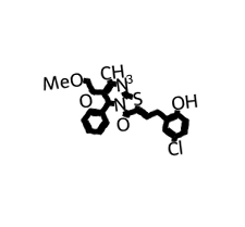 COCC(=O)C1=C(C)N=c2s/c(=C\Cc3cc(Cl)ccc3O)c(=O)n2C1c1ccccc1